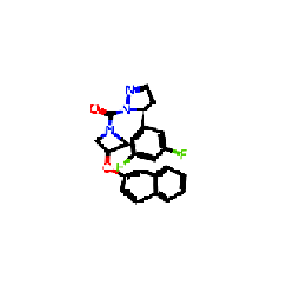 O=C(N1CC(Oc2ccc3ccccc3c2)C1)N1N=CC[C@H]1c1cc(F)cc(F)c1